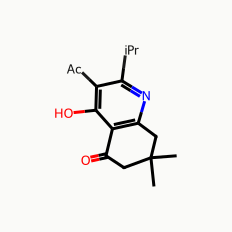 CC(=O)c1c(C(C)C)nc2c(c1O)C(=O)CC(C)(C)C2